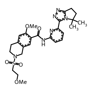 COCCS(=O)(=O)N1CCc2cc(OC)c(C(=O)Nc3cccc(-c4nnc5n4C(C)(C)CC5)n3)cc2C1